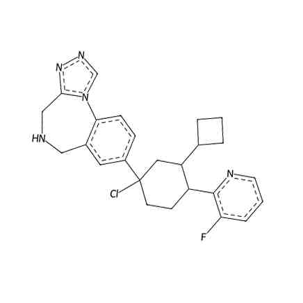 Fc1cccnc1C1CCC(Cl)(c2ccc3c(c2)CNCc2nncn2-3)CC1C1CCC1